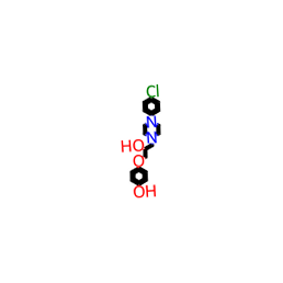 Oc1ccc(OCC(O)CN2CCN(c3ccc(Cl)cc3)CC2)cc1